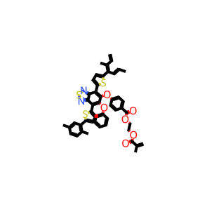 C=C/C(C)=C(\C=C\C)c1ccc(-c2c(Oc3ccc(C(=O)OCCOC(=O)C(=C)C)cc3)c(Oc3ccccc3)c(-c3ccc(-c4cc(C)ccc4C)s3)c3nsnc23)s1